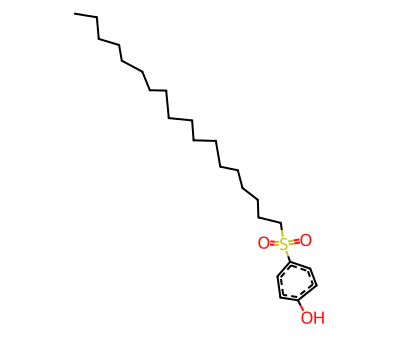 CCCCCCCCCCCCCCCCCCS(=O)(=O)c1ccc(O)cc1